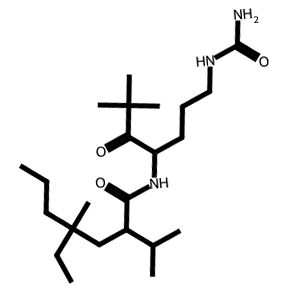 CCCC(C)(CC)CC(C(=O)NC(CCCNC(N)=O)C(=O)C(C)(C)C)C(C)C